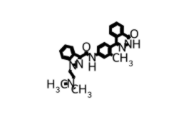 Cc1cc(NC(=O)c2nn(CCN(C)C)c3ccccc23)ccc1-c1n[nH]c(=O)c2ccccc12